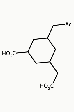 CC(=O)CC1CC(CC(=O)O)CC(C(=O)O)C1